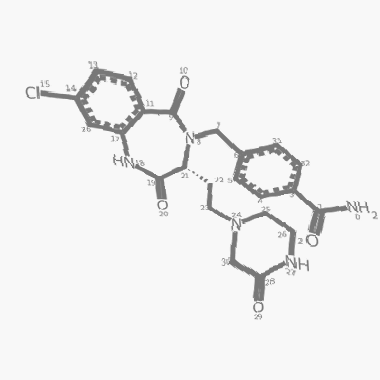 NC(=O)c1ccc(CN2C(=O)c3ccc(Cl)cc3NC(=O)[C@H]2CCN2CCNC(=O)C2)cc1